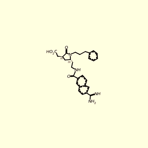 N=C(N)c1ccc2cc(C(=O)NCC[C@@H]3C[C@@H](CC(=O)O)C(=O)N3CCCc3ccccc3)ccc2c1